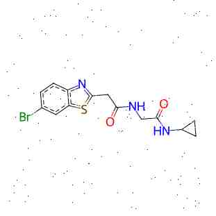 O=C(Cc1nc2ccc(Br)cc2s1)NCC(=O)NC1CC1